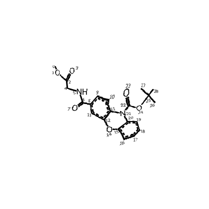 COC(=O)CNC(=O)c1ccc2c(c1)Oc1ccccc1N2C(=O)OC(C)(C)C